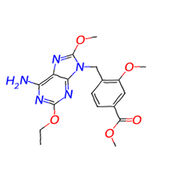 CCOc1nc(N)c2nc(OC)n(Cc3ccc(C(=O)OC)cc3OC)c2n1